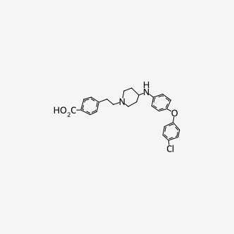 O=C(O)c1ccc(CCN2CCC(Nc3ccc(Oc4ccc(Cl)cc4)cc3)CC2)cc1